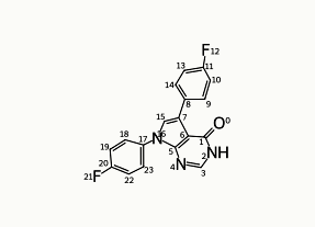 O=c1[nH]cnc2c1c(-c1ccc(F)cc1)cn2-c1ccc(F)cc1